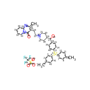 Cc1ccc([S+](c2ccc(C)cc2)c2ccc(C(=O)C3CCN(CCc4c(C)nc5ccccn5c4=O)CC3)cc2)cc1.O=S(=O)([O-])C(F)(F)F